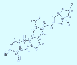 COc1cc2c(Nc3ccc(Br)c(Cl)c3F)ncnc2cc1OC[C@H]1CC2CN(C)C[C@H]2C1